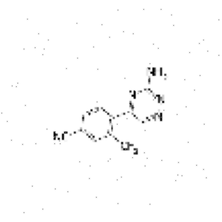 N#Cc1ccc(-c2cnnc(N)n2)c(C(F)(F)F)c1